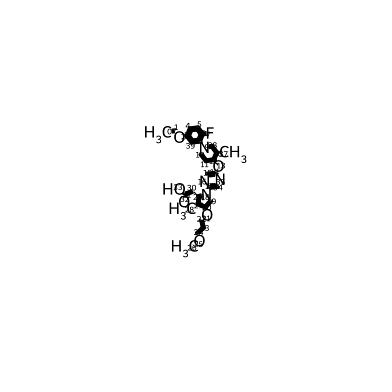 CCOc1ccc(F)c(N2CC[C@@H](Oc3cnc(N4C[C@H](OCCCOC)[C@@H](C)[C@@H]4CC(=O)O)cn3)[C@@H](C)C2)c1